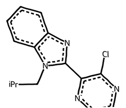 CC(C)Cn1c(-c2nccnc2Cl)nc2ccccc21